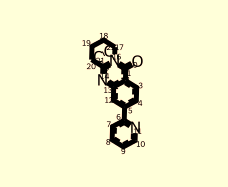 O=c1c2ccc(-c3ccccn3)cc2nc2n1C1CCC2CC1